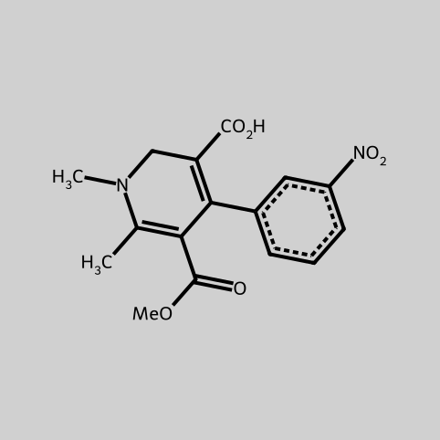 COC(=O)C1=C(C)N(C)CC(C(=O)O)=C1c1cccc([N+](=O)[O-])c1